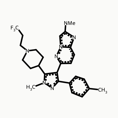 CNc1cn2nc(-c3c(-c4ccc(C)cc4)nn(C)c3C3CCN(CCC(F)(F)F)CC3)ccc2n1